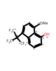 COc1ccc(C(C(F)(F)F)(C(F)(F)F)C(F)(F)F)c2cccc(O)c12